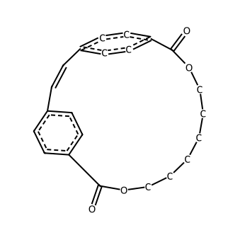 O=C1OCCCCCCOC(=O)c2ccc(cc2)C=Cc2ccc1cc2